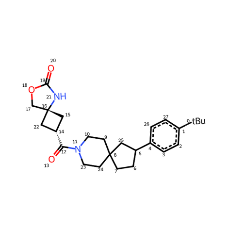 CC(C)(C)c1ccc(C2CCC3(CCN(C(=O)[C@H]4C[C@]5(COC(=O)N5)C4)CC3)C2)cc1